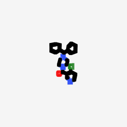 O=C(c1cnccc1Cl)N1CCN(C(c2ccccc2)c2ccccc2)CC1